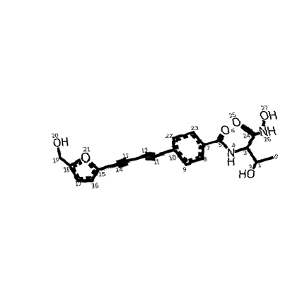 CC(O)C(NC(=O)c1ccc(C#CC#Cc2ccc(CO)o2)cc1)C(=O)NO